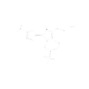 COCCn1c(=O)n(-c2ncc(C(F)F)s2)c2cc(S(C)(=O)=O)ccc21